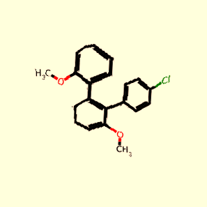 COC1=CC[CH]C(c2ccccc2OC)=C1c1ccc(Cl)cc1